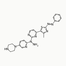 Cc1nc(N=Nc2ccccc2)sc1-c1ccnc(N(N)c2ccc(N3CCNCC3)cn2)n1